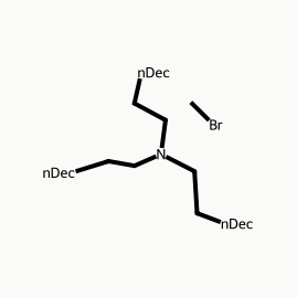 CBr.CCCCCCCCCCCCN(CCCCCCCCCCCC)CCCCCCCCCCCC